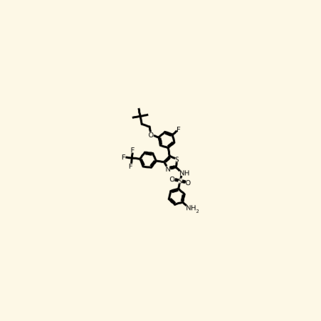 CC(C)(C)CCOc1cc(F)cc(-c2sc(NS(=O)(=O)c3cccc(N)c3)nc2-c2ccc(C(F)(F)F)cc2)c1